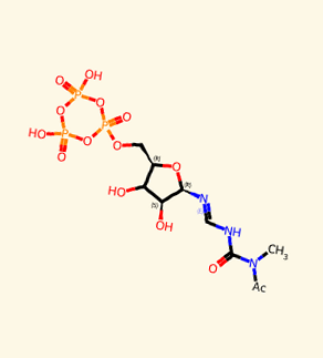 CC(=O)N(C)C(=O)N/C=N/[C@@H]1O[C@H](COP2(=O)OP(=O)(O)OP(=O)(O)O2)C(O)[C@@H]1O